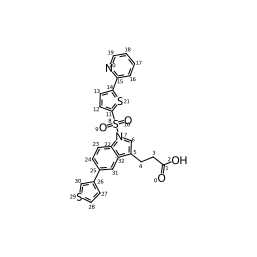 O=C(O)CCc1cn(S(=O)(=O)c2ccc(-c3ccccn3)s2)c2ccc(-c3ccsc3)cc12